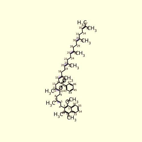 COc1c(C/C=C(\C)CC/C=C(\C)CC(/C=C(\C)CC/C=C(\C)CC/C=C(\C)CC/C=C(\C)CCC=C(C)C)S(=O)(=O)c2ccccc2)c(C)c(C)c2ccccc12